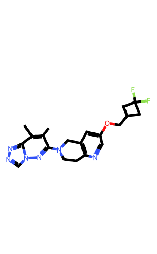 Cc1c(N2CCc3ncc(OCC4CC(F)(F)C4)cc3C2)nn2cnnc2c1C